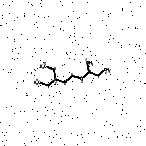 [CH2]CC([SiH3])OCCN(CC)CC